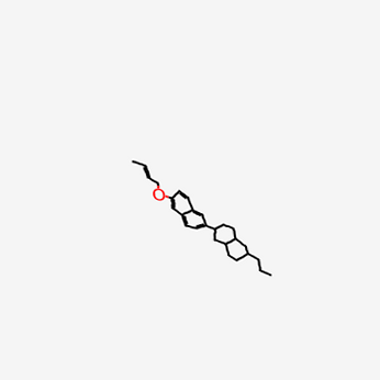 CC=CCOc1ccc2cc(C3CCC4CC(CCC)CCC4C3)ccc2c1